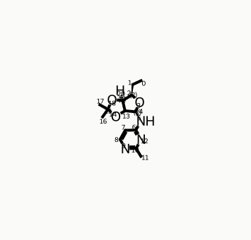 CC[C@H]1O[C@@H](Nc2ccnc(C)n2)C2OC(C)(C)O[C@H]21